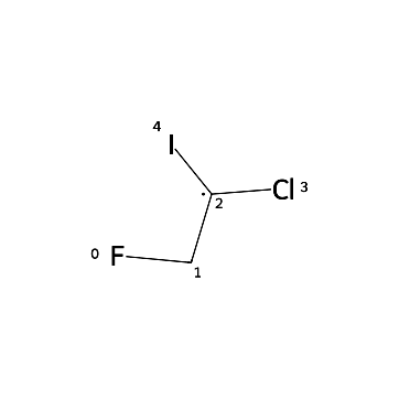 FC[C](Cl)I